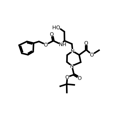 COC(=O)C1CN(C(=O)OC(C)(C)C)CCN1CC(CO)NC(=O)OCc1ccccc1